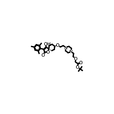 Cc1cc(C)c(C2=C(O)[C@]3(CC[C@H](OCCN4CCN(CCOCC(=O)OC(C)(C)C)CC4)CC3)OC2=O)c(C)c1